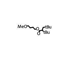 COCCCCOC(=O)C(CC(C)(C)C)C(C)(C)C